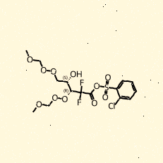 COCOOC[C@H](O)[C@@H](OOCOC)C(F)(F)C(=O)OS(=O)(=O)c1ccccc1Cl